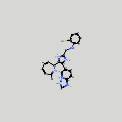 CC1=NC(c2[nH]c(CNc3ccccc3F)nc2-c2ccc3ncnn3c2)C=CC=C1